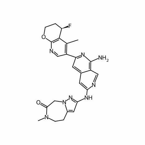 Cc1c(-c2cc3cc(Nc4cc5n(n4)CC(=O)N(C)CC5)ncc3c(N)n2)cnc2c1[C@H](F)CCO2